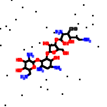 NCCC(O)C(C=O)C(N)C(O)OC1C(CO)OC(OC2C(O)C(N)CC(N)C2OC2OC(CN)C(O)C(O)C2N)C1O